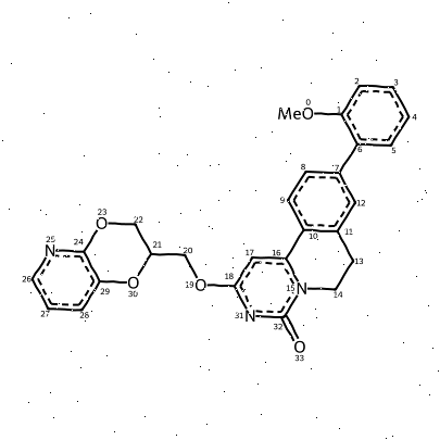 COc1ccccc1-c1ccc2c(c1)CCn1c-2cc(OCC2COc3ncccc3O2)nc1=O